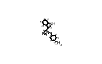 Cc1ccc(Cn2cncc2-c2c[nH]c3ccccc23)cc1